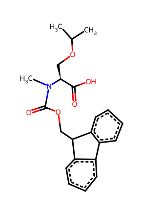 CC(C)OC[C@@H](C(=O)O)N(C)C(=O)OCC1c2ccccc2-c2ccccc21